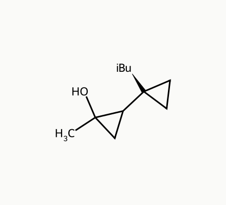 CC[C@H](C)C1(C2CC2(C)O)CC1